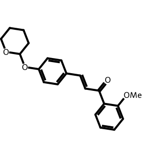 COc1ccccc1C(=O)C=Cc1ccc(OC2CCCCO2)cc1